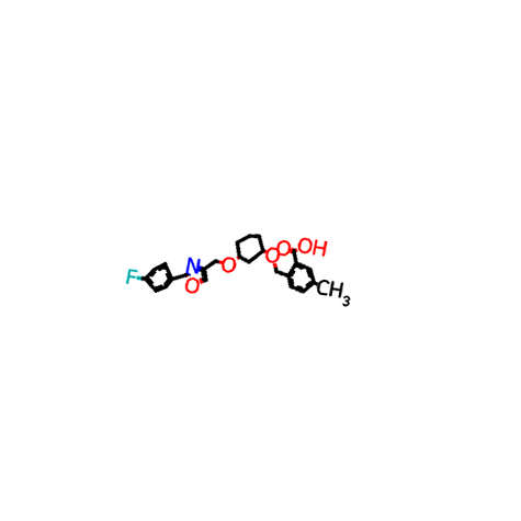 Cc1ccc(COC2CCCC(OCc3coc(-c4ccc(F)cc4)n3)C2)c(C(=O)O)c1